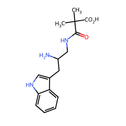 CC(C)(C(=O)O)C(=O)NCC(N)Cc1c[nH]c2ccccc12